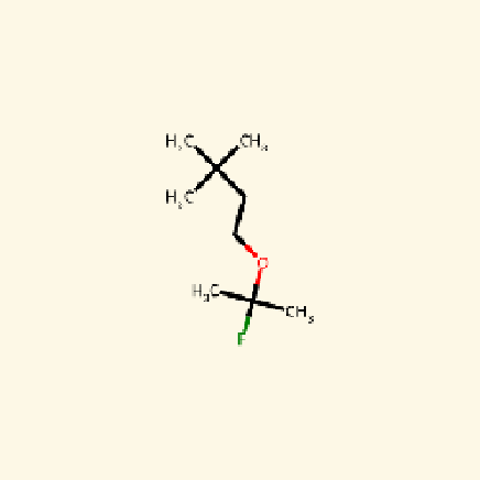 CC(C)(C)CCOC(C)(C)F